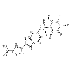 O=C(O)C1CSC(c2nc3ccc(OC(F)(F)c4c(F)c(F)c(F)c(F)c4F)cc3s2)=N1